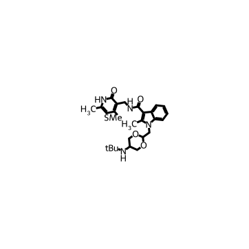 CSc1cc(C)[nH]c(=O)c1CNC(=O)c1c(C)n(CC2OCC(NC(C)(C)C)CO2)c2ccccc12